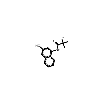 CCC(C)(C)C(=O)Nc1cc(O)cc2ccccc12